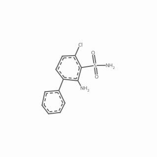 Nc1c(-c2ccccc2)ccc(Cl)c1S(N)(=O)=O